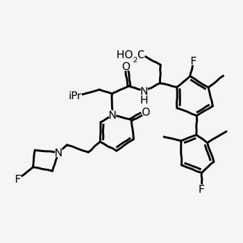 Cc1cc(-c2c(C)cc(F)cc2C)cc(C(CC(=O)O)NC(=O)C(CC(C)C)n2cc(CCN3CC(F)C3)ccc2=O)c1F